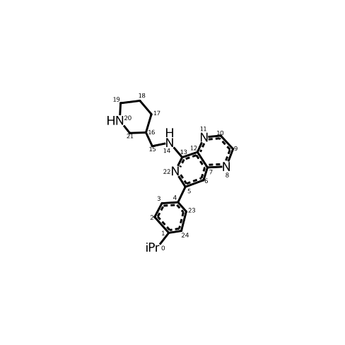 CC(C)c1ccc(-c2cc3nccnc3c(NCC3CCCNC3)n2)cc1